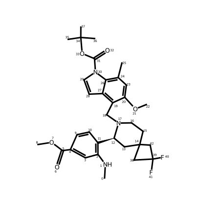 CNc1cc(C(=O)OC)ccc1[C@@H]1CC2(CCN1Cc1c(OC)cc(C)c3c1ccn3C(=O)OC(C)(C)C)CC(F)(F)C2